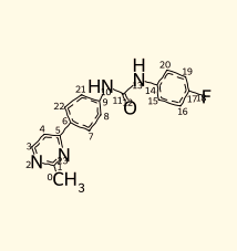 Cc1nccc(-c2ccc(NC(=O)Nc3ccc(F)cc3)cc2)n1